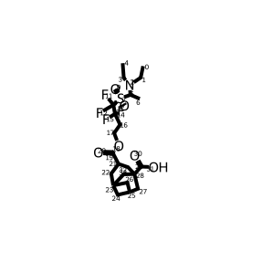 CCN(CC)C(C)S(=O)(=O)C(F)(F)C(F)(F)CCOC(=O)C1CC23CC(C2)CC(C(=O)O)(C1)C3